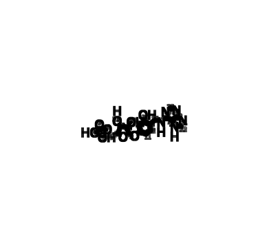 O=P(O)(O)OC[C@H]1OC(Oc2ccc(CNc3ncnc4nc[nH]c34)c(O)c2)[C@H](O)[C@@H]1O